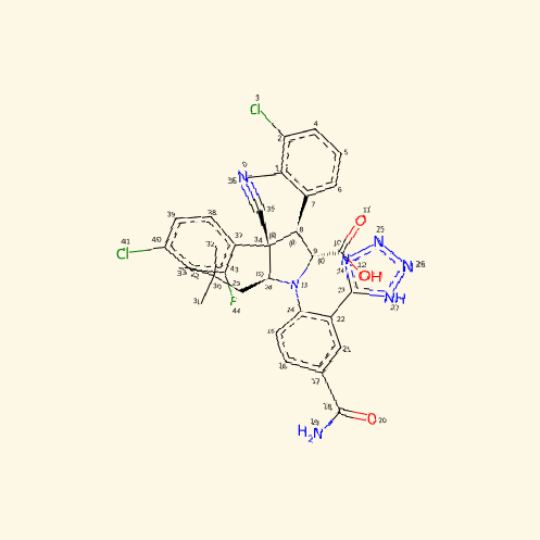 Cc1c(Cl)cccc1[C@H]1[C@H](C(=O)O)N(c2ccc(C(N)=O)cc2-c2nnn[nH]2)[C@@H](CC(C)(C)C)[C@]1(C#N)c1ccc(Cl)cc1F